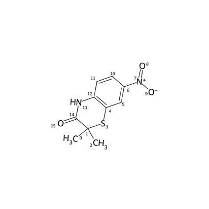 CC1(C)Sc2cc([N+](=O)[O-])ccc2NC1=O